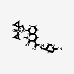 Cn1c(=O)c(C(=O)NCc2ccc(C#N)nc2)cc2ccnc(OCC3(S(=O)(=O)C4CC4)CC3)c21